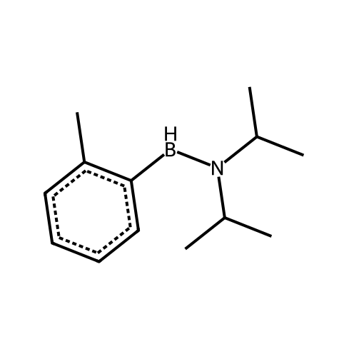 Cc1ccccc1BN(C(C)C)C(C)C